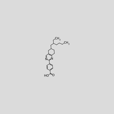 CCCCC(CC)CC1CCc2nc(-c3ccc(C(=O)O)cc3)ncc2C1